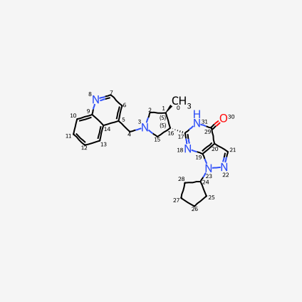 C[C@@H]1CN(Cc2ccnc3ccccc23)C[C@H]1c1nc2c(cnn2C2CCCC2)c(=O)[nH]1